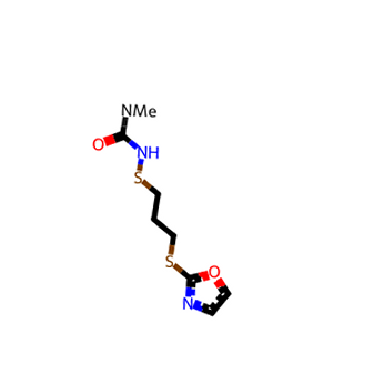 CNC(=O)NSCCCSc1ncco1